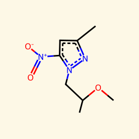 COC(C)Cn1nc(C)cc1[N+](=O)[O-]